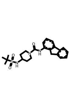 CC(C)(C)S(=O)(=O)NC1CCN(C(=O)Nc2cccc3c2Cc2ccccc2-3)CC1